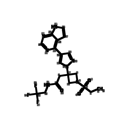 CCS(=O)(=O)N1CC(CC(=O)NCC(F)(F)F)(n2cc(-c3ncnc4[nH]ccc34)cn2)C1